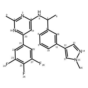 Cc1nc(NC(C)c2cccc(-c3cnn(C)c3)c2)cc(-c2cc(F)c(F)c(F)c2)n1